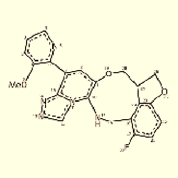 COc1cccnc1-c1cc2c(n3cnnc13)NCc1c(F)ccc3c1C(CO3)CO2